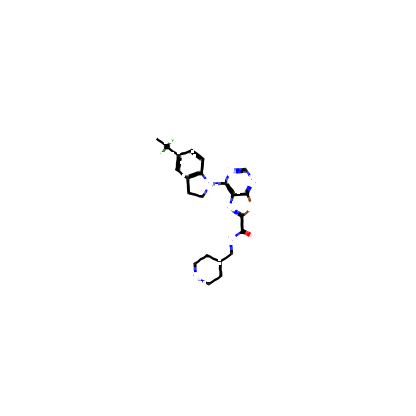 CC(F)(F)c1ccc2c(c1)CCN2c1ncnc2sc(C(=O)NCC3CCNCC3)nc12